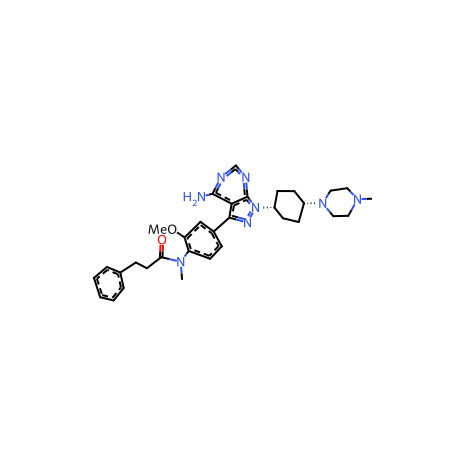 COc1cc(-c2nn([C@H]3CC[C@@H](N4CCN(C)CC4)CC3)c3ncnc(N)c23)ccc1N(C)C(=O)CCc1ccccc1